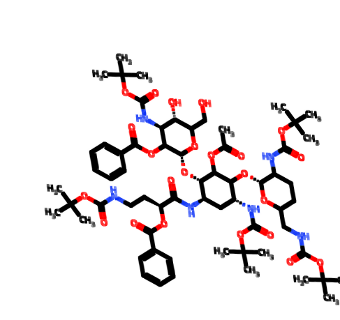 CC(=O)OC1C(O[C@H]2OC(CNC(=O)OC(C)(C)C)CCC2NC(=O)OC(C)(C)C)[C@H](NC(=O)OC(C)(C)C)C[C@@H](NC(=O)[C@H](CCNC(=O)OC(C)(C)C)OC(=O)c2ccccc2)[C@@H]1O[C@H]1OC(CO)[C@@H](O)[C@H](NC(=O)OC(C)(C)C)C1OC(=O)c1ccccc1